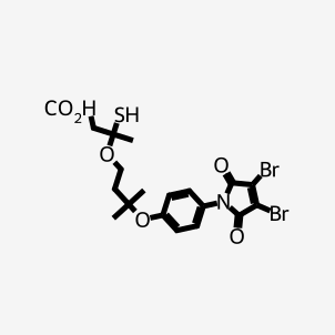 CC(C)(CCOC(C)(S)CC(=O)O)Oc1ccc(N2C(=O)C(Br)=C(Br)C2=O)cc1